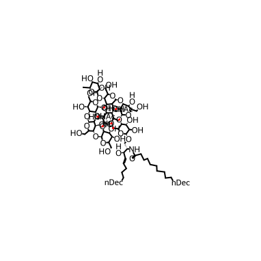 CCCCCCCCCCCCC/C=C/[C@@H](O)[C@H](CO[C@@H]1OC(CO)[C@@H](O[C@@H]2OC(CO)[C@H](O)[C@H](O[C@@H]3OC(CO)[C@@H](O[C@H]4OC(C)[C@@H](O)C(O)[C@@H]4O)[C@H](O[C@@H]4OC(CO)[C@H](O)[C@H](O[C@@H]5OC(CO)[C@@H](O[C@@H]6OC(CO)[C@H](O)[C@H](O)C6O[C@H]6OC(C)[C@@H](O)C(O)[C@@H]6O)[C@H](O)C5NC(C)=O)C4O)C3NC(C)=O)C2O)[C@H](O)C1O)NC(=O)CCCCCCCCCCCCCCCCCCC